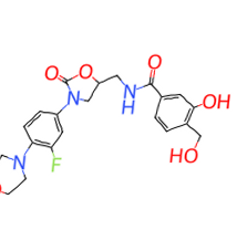 O=C(NCC1CN(c2ccc(N3CCOCC3)c(F)c2)C(=O)O1)c1ccc(CO)c(O)c1